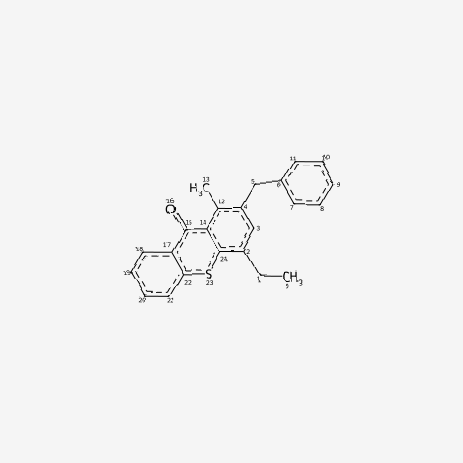 CCc1cc(Cc2ccccc2)c(C)c2c(=O)c3ccccc3sc12